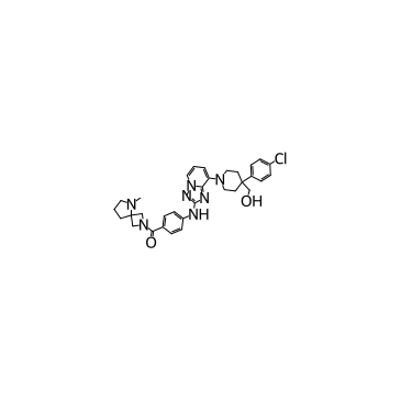 CN1CCCC12CN(C(=O)c1ccc(Nc3nc4c(N5CCC(CO)(c6ccc(Cl)cc6)CC5)cccn4n3)cc1)C2